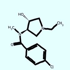 CCN1C[C@@H](O)[C@H](N(C)C(=O)c2ccc(Cl)cc2)C1